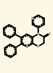 O=C1COc2nc(-c3cc[c]cc3)c(-c3ccccc3)cc2N1c1cccnc1